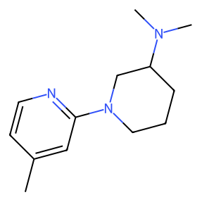 Cc1ccnc(N2CCCC(N(C)C)C2)c1